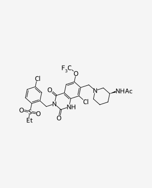 CCS(=O)(=O)c1ccc(Cl)cc1Cn1c(=O)[nH]c2c(Cl)c(CN3CCC[C@H](NC(C)=O)C3)c(OC(F)(F)F)cc2c1=O